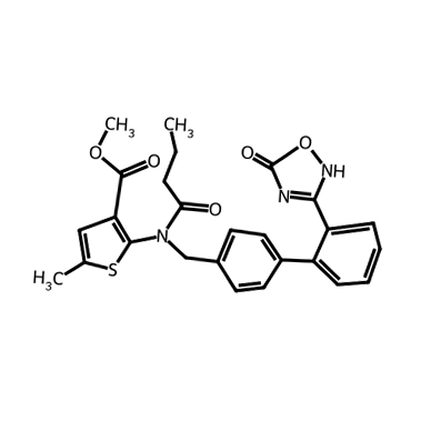 CCCC(=O)N(Cc1ccc(-c2ccccc2-c2nc(=O)o[nH]2)cc1)c1sc(C)cc1C(=O)OC